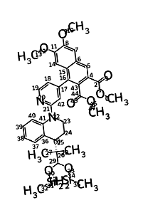 COC(=O)c1cc2cc(OC)c(OC)cc2c(-c2ccnc(N3CC[C@H](C(C)(C)C(O[SiH2]C)O[SiH2]C)c4ccccc43)c2)c1C(=O)OC